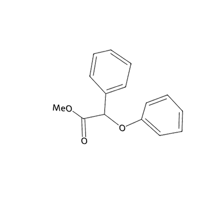 COC(=O)C(Oc1ccccc1)c1ccccc1